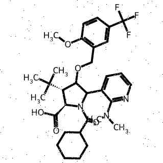 COc1ccc(C(F)(F)F)cc1COC1C(c2cccnc2N(C)C)N(C(=O)C2CCCCC2)[C@@H](C(=O)O)[C@@H]1C(C)(C)C